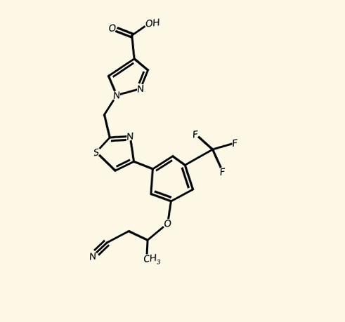 CC(CC#N)Oc1cc(-c2csc(Cn3cc(C(=O)O)cn3)n2)cc(C(F)(F)F)c1